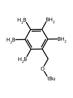 Bc1c(B)c(B)c(COC(C)(C)C)c(B)c1B